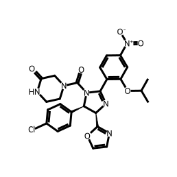 CC(C)Oc1cc([N+](=O)[O-])ccc1C1=N[C@@H](c2ncco2)[C@@H](c2ccc(Cl)cc2)N1C(=O)N1CCNC(=O)C1